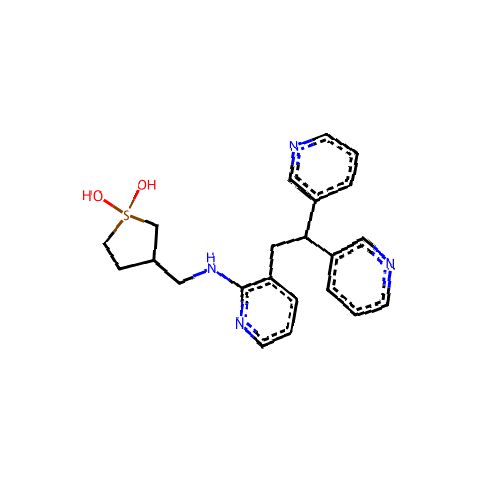 OS1(O)CCC(CNc2ncccc2CC(c2cccnc2)c2cccnc2)C1